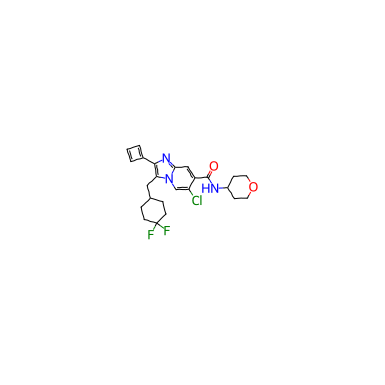 O=C(NC1CCOCC1)c1cc2nc(C3=CC=C3)c(CC3CCC(F)(F)CC3)n2cc1Cl